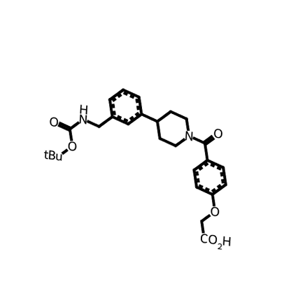 CC(C)(C)OC(=O)NCc1cccc(C2CCN(C(=O)c3ccc(OCC(=O)O)cc3)CC2)c1